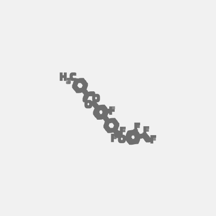 CC1CCC(C2COC(c3ccc(C4CCC(C(F)(F)Oc5ccc(/C(F)=C/F)c(F)c5)CC4)c(F)c3)OC2)CC1